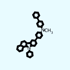 CN(c1ccc(-c2ccccc2)cc1)c1ccc(-c2ccc3c(c2)c2ccc4ccccc4c2n3-c2ccccc2)cc1